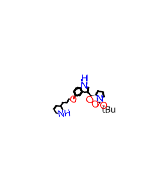 CC(C)(C)OC(=O)N1CCC[C@H]1C(=O)C1CNc2ccc(OCCCC3CCCNC3)cc21